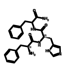 NC(=O)C(Cc1ccccc1)NC(=O)[C@H](Cc1cnc[nH]1)NC(=O)[C@@H](N)Cc1ccccc1